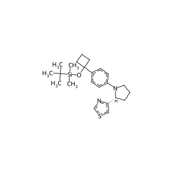 CC(C)(C)[Si](C)(C)OC1(c2ccc(N3CCC[C@@H]3c3cscn3)cc2)CCC1